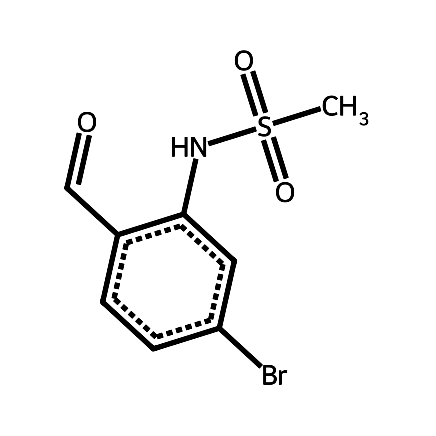 CS(=O)(=O)Nc1cc(Br)ccc1C=O